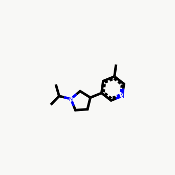 Cc1cncc(C2CCN(C(C)C)C2)c1